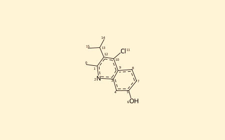 Cc1nc2cc(O)ccc2c(Cl)c1C(C)C